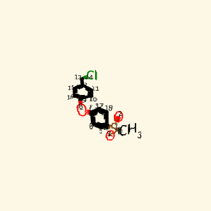 CS(=O)(=O)c1ccc(Oc2ccc(CCl)cc2)cc1